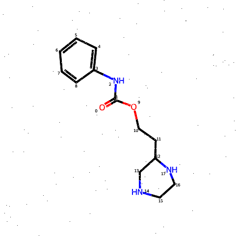 O=C(Nc1ccccc1)OCCC1CNCCN1